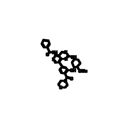 COC1CCC(Nc2ncc3c(NC(=O)c4ccccc4)ncc(-c4ccc(C(=O)N5CCOCC5)c(O)c4)c3n2)CC1